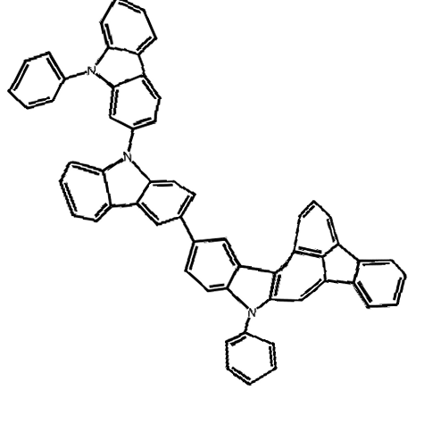 c1ccc(-n2c3ccccc3c3ccc(-n4c5ccccc5c5cc(-c6ccc7c(c6)c6c8cccc9c8c(cc6n7-c6ccccc6)-c6ccccc6-9)ccc54)cc32)cc1